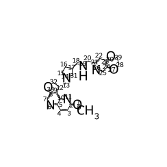 COc1ccc2ncc3c(c2n1)[C@@H](CN1CC[C@@H](CNCc2cc4c(cn2)OCCO4)C1)CO3